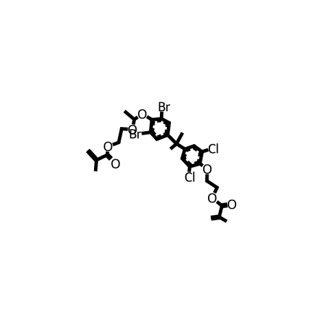 C=C(C)C(=O)OCCOc1c(Cl)cc(C(C)(C)c2cc(Br)c(OC(C)OCCOC(=O)C(=C)C)c(Br)c2)cc1Cl